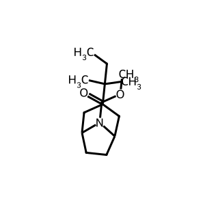 CCC(C)(C)C1CC2CCC(C1)N2C(=O)OC